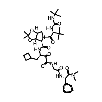 CN(C)C(=O)[C@@H](NC(=O)CNC(=O)C(=O)[C@@H](CC1CCC1)NC(=O)[C@@H]1[C@H]2OC(C)(C)O[C@H]2CN1C(=O)[C@@H](NC(=O)NC(C)(C)C)C(C)(C)C)c1ccccc1